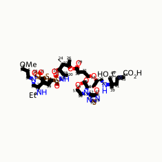 CCN[C@H]1CN(CCCOC)S(=O)(=O)c2sc(S(=O)(=O)NC(C)C(=O)[C@H](C)C(C)OC(=O)CCC(=O)O[C@@H](CNC(C)(C)C/C(=C/C(=O)O)C(=O)O)COc3nsnc3N3CCOCC3)cc21